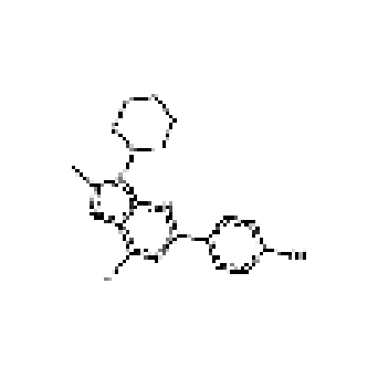 Cc1nc2c(Cl)nc(-c3ccc(O)cc3)nc2n1C1CCCCO1